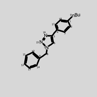 CCCCc1ccc(-c2cn(Cc3ccccc3)nn2)cc1